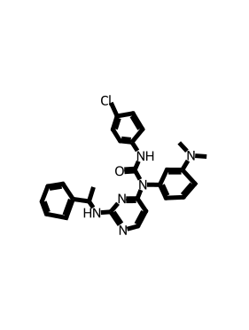 CC(Nc1nccc(N(C(=O)Nc2ccc(Cl)cc2)c2cccc(N(C)C)c2)n1)c1ccccc1